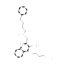 CCCCOc1c(C)c(CNCCCCc2ccccc2)nc2ccccc12